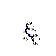 C=C=C(N)/C(C)=C/C=C\C(=C)CC